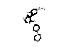 CN1Cc2sc3ncnc(O[C@H]4CC[C@H](N5CCOCC5)CC4)c3c2C1